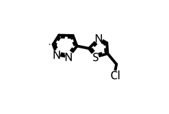 ClCc1cnc(-c2cc[c]nn2)s1